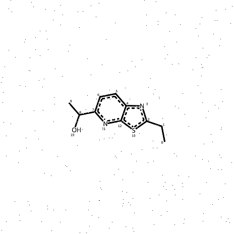 CCc1nc2ccc(C(C)O)nc2s1